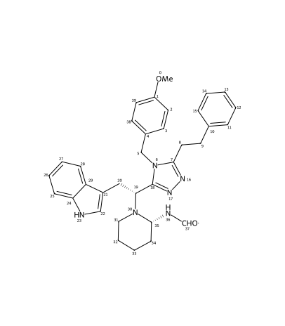 COc1ccc(Cn2c(CCc3ccccc3)nnc2[C@@H](Cc2c[nH]c3ccccc23)N2CCCC[C@H]2N[C]=O)cc1